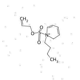 C=CCOS(=O)(=O)[N+]1(CCCC)C=CC=CC1